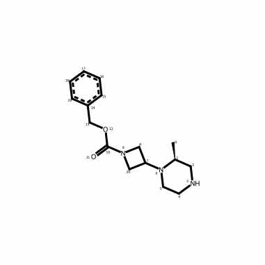 C[C@H]1CNCCN1C1CN(C(=O)OCc2ccccc2)C1